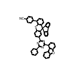 N#Cc1ccc(-c2cccc3c2Sc2ccc(-c4nc(-c5ccccc5)nc(-c5cccc6oc7ccccc7c56)n4)cc2C32c3ccccc3-c3ccccc32)cc1